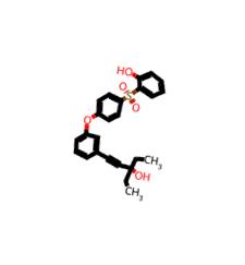 CCC(O)(C#Cc1cccc(Oc2ccc(S(=O)(=O)c3ccccc3O)cc2)c1)CC